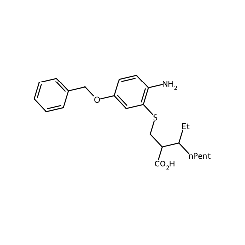 CCCCCC(CC)C(CSc1cc(OCc2ccccc2)ccc1N)C(=O)O